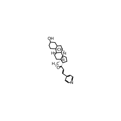 C[C@]12CC[C@H]3[C@@H](CCC4CC(O)CC[C@@]43C)[C@@H]1CC[C@@H]2C(=O)C=Cc1ccncc1